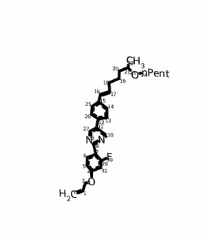 C=CCOc1ccc(-c2ncc(-c3ccc(C=CCCCC(C)OCCCCC)cc3)cn2)c(F)c1